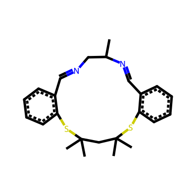 CC1C/N=C/c2ccccc2SC(C)(C)CC(C)(C)Sc2ccccc2/C=N/1